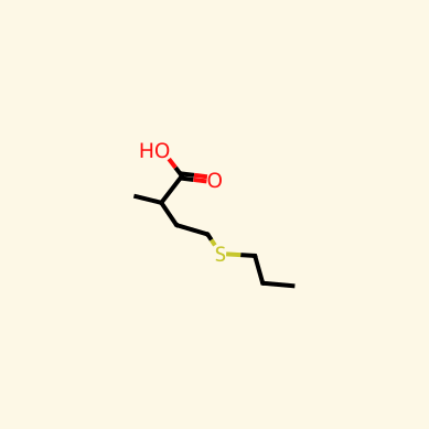 CCCSCCC(C)C(=O)O